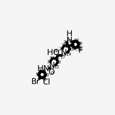 O=C(Nc1ccc(Br)c(Cl)c1)N1CCC(C(O)CN2CCC3(CC2)CNc2ccc(F)cc23)CC1